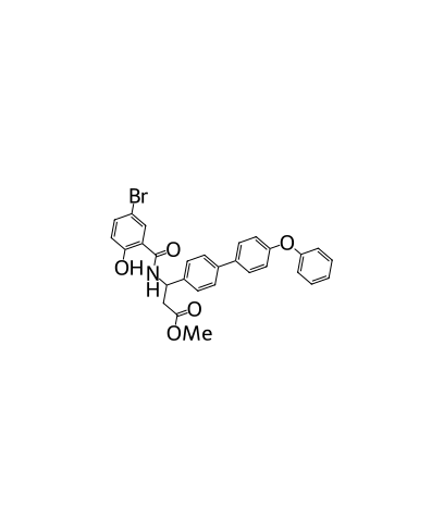 COC(=O)CC(NC(=O)c1cc(Br)ccc1O)c1ccc(-c2ccc(Oc3ccccc3)cc2)cc1